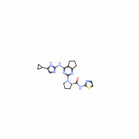 O=C(Nc1nccs1)[C@H]1CCCN1c1nc2c(c(Nc3ncc(C4CC4)[nH]3)n1)CCC2